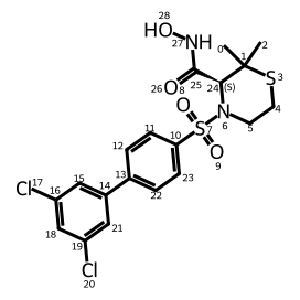 CC1(C)SCCN(S(=O)(=O)c2ccc(-c3cc(Cl)cc(Cl)c3)cc2)[C@H]1C(=O)NO